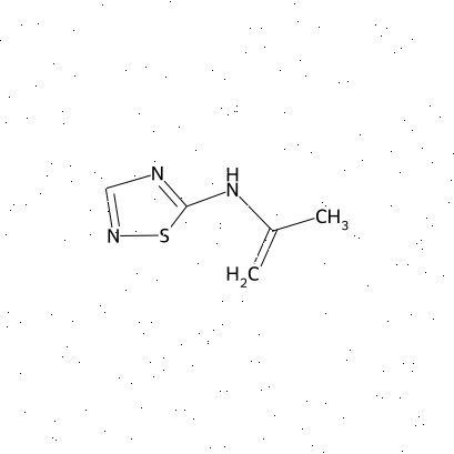 C=C(C)Nc1ncns1